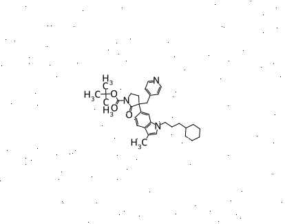 Cc1cn(CCCC2CCCCC2)c2cc(C3(Cc4ccncc4)CCN(C(=O)OC(C)(C)C)C3=O)ccc12